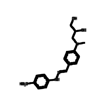 CN(CC(O)CO)c1ccc(/C=N/Nc2ccc(C(=O)O)cc2)cc1